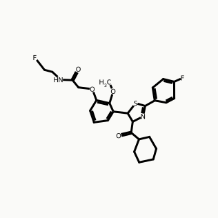 COc1c(OCC(=O)NCCF)cccc1C1SC(c2ccc(F)cc2)=NC1C(=O)C1CCCCC1